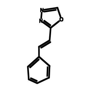 C(=Cc1nnco1)c1ccccc1